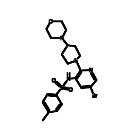 Cc1ccc(S(=O)(=O)Nc2cc(Br)cnc2N2CCC(N3CCOCC3)CC2)cc1